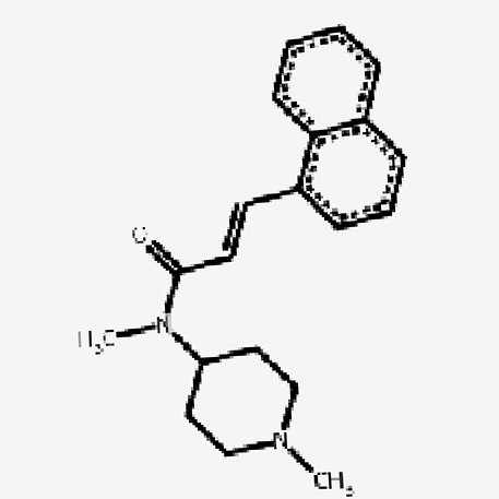 CN1CCC(N(C)C(=O)C=Cc2cccc3ccccc23)CC1